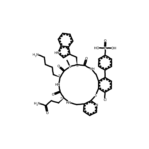 CN1C(=O)[C@H](CCCCN)NC(=O)[C@H](CCC(N)=O)NCc2cccnc2Sc2c(Cl)ccc(-c3ccc(P(=O)(O)O)cc3)c2CNC(=O)[C@@H]1Cc1c[nH]c2ccccc12